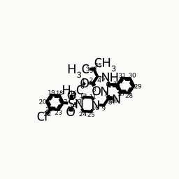 COC(=O)[C@@H](Nc1nc(CN2CCN(S(=O)(=O)c3cccc(Cl)c3)CC2)nc2ccccc12)C(C)C